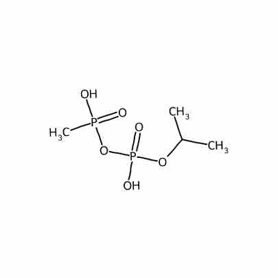 CC(C)OP(=O)(O)OP(C)(=O)O